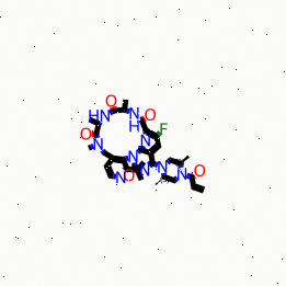 C=CC(=O)N1C[C@H](C)N(c2nc(=O)n3c4nc(c(F)cc24)C(=O)NC(C)C(=O)NC(C)C(=O)N(C)Cc2ccnc(C(C)C)c2-3)C[C@H]1C